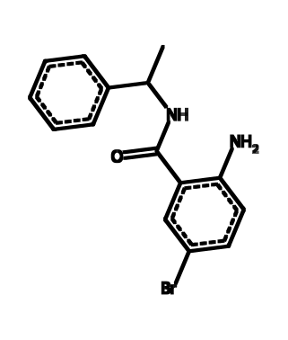 CC(NC(=O)c1cc(Br)ccc1N)c1ccccc1